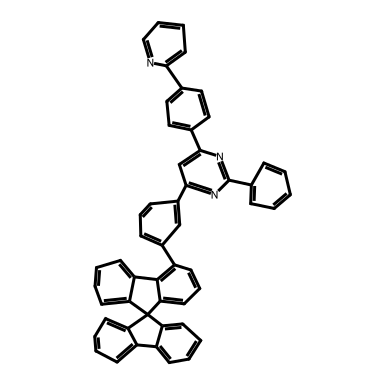 c1ccc(-c2nc(-c3ccc(-c4ccccn4)cc3)cc(-c3cccc(-c4cccc5c4-c4ccccc4C54c5ccccc5-c5ccccc54)c3)n2)cc1